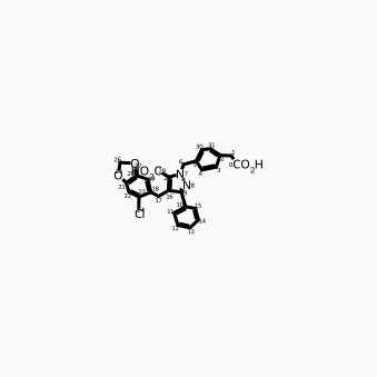 O=C(O)Cc1ccc(Cn2nc(-c3ccccc3)c(Cc3cc4c(cc3Cl)OCO4)c2C(=O)O)cc1